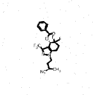 C[C@@H](C#N)CCn1nc(C(F)(F)F)c2c1CCC(F)(F)[C@H]2OC(=O)c1ccccc1